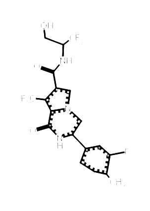 Cc1ccc(-c2cn3cc(C(=O)NC(CO)C(F)(F)F)c(C(F)(F)F)c3c(=O)[nH]2)cc1F